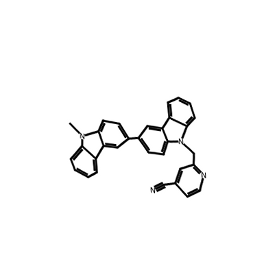 Cn1c2ccccc2c2cc(-c3ccc4c(c3)c3ccccc3n4Cc3cc(C#N)ccn3)ccc21